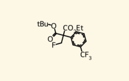 CCOC(=O)C(CF)(C(=O)OC(C)(C)C)c1cccc(C(F)(F)F)c1